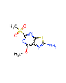 COc1nc(S(C)(=O)=O)nc2sc(N)nc12